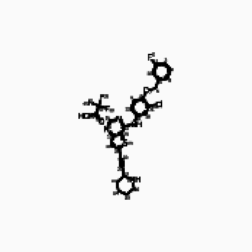 Fc1cccc(COc2ccc(Nc3ncnc4cc(C#CC5CCCCN5)sc34)cc2Cl)c1.O=C(O)C(F)(F)F